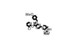 COc1ccc(Cn2nc(Oc3ncccc3Cl)c3ncc(N4CCC(C)(NC(=O)OC(C)(C)C)CC4)nc32)cc1